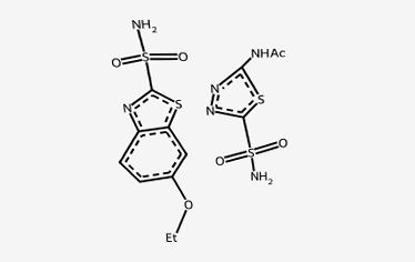 CC(=O)Nc1nnc(S(N)(=O)=O)s1.CCOc1ccc2nc(S(N)(=O)=O)sc2c1